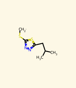 [CH2]Sc1nnc(CC(C)C)s1